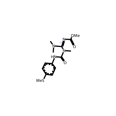 COC(=O)/N=C(/N(C)C)N(C)C(=O)Nc1ccc(SC)cc1